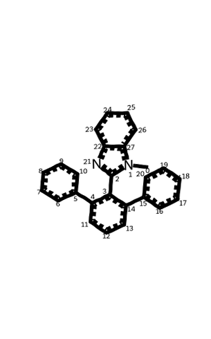 Cn1c(-c2c(-c3cc[c]cc3)cccc2-c2cc[c]cc2)nc2ccccc21